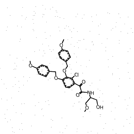 COCC(CO)NC(=O)C(=O)c1ccc(OCc2ccc(OC)cc2)c(OCc2ccc(OC)cc2)c1Cl